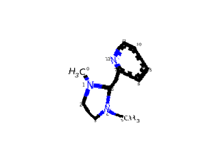 CN1CCN(C)C1c1ccccn1